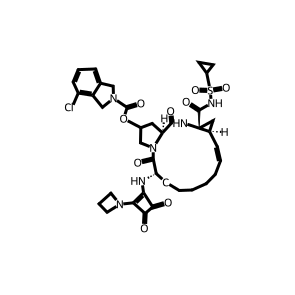 O=C1N[C@]2(C(=O)NS(=O)(=O)C3CC3)C[C@H]2/C=C\CCCCC[C@H](Nc2c(N3CCC3)c(=O)c2=O)C(=O)N2CC(OC(=O)N3Cc4cccc(Cl)c4C3)C[C@@H]12